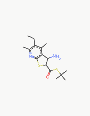 CCc1c(C)nc2c(c1C)C(N)C(C(=O)SC(C)(C)C)S2